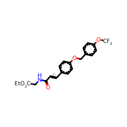 CCOC(=O)CNC(=O)/C=C/c1ccc(OCc2ccc(OC(F)(F)F)cc2)cc1